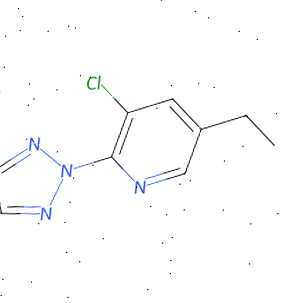 CCc1cnc(-n2nccn2)c(Cl)c1